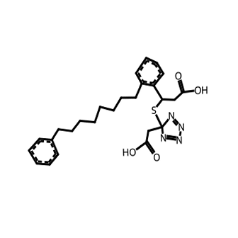 O=C(O)CC(SC1(CC(=O)O)N=NN=N1)c1ccccc1CCCCCCCCc1ccccc1